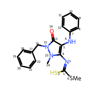 CS/C(S)=N/c1c(Nc2ccccc2)c(=O)n(Cc2ccccc2)n1C